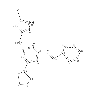 Cc1cc(Nc2cc(N3CCCC3)nc(C=Cc3ccccc3)n2)n[nH]1